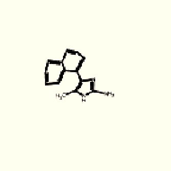 Cc1[nH]c(N)nc1-c1cccc2ccccc12